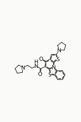 O=C(NCCN1CCCC1)c1c(=O)c2cc(N3CCCC3)sc2n2c1sc1ccccc12